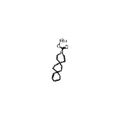 CC(C)(C)OC(=O)N1CCC2(CC1)CCC1(C=CCCC1)CC2